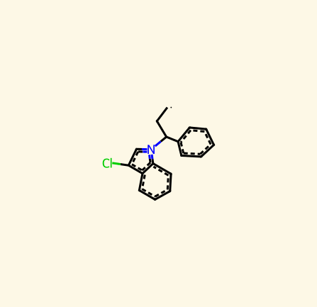 [CH2]CC(c1ccccc1)n1cc(Cl)c2ccccc21